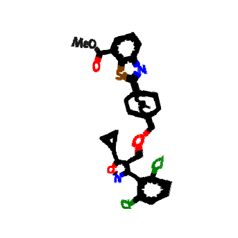 COC(=O)c1cccc2nc(C34CCC(COCc5c(-c6c(Cl)cccc6Cl)noc5C5CC5)(CC3)CC4)sc12